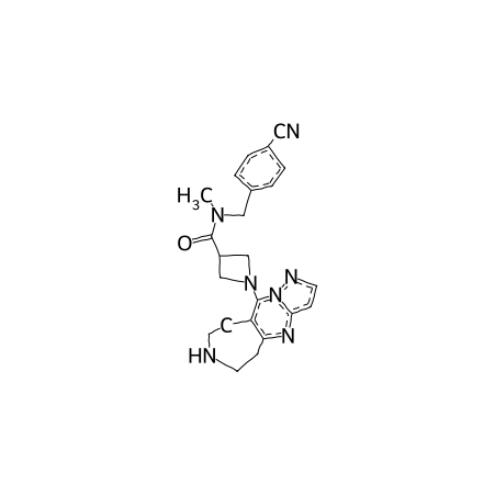 CN(Cc1ccc(C#N)cc1)C(=O)C1CN(c2c3c(nc4ccnn24)CCNCC3)C1